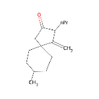 C=C1C(CCC)C(=O)CC12CCC(C)CC2